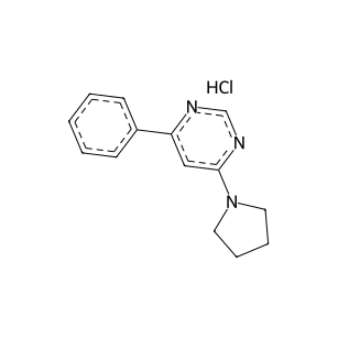 Cl.c1ccc(-c2cc(N3CCCC3)ncn2)cc1